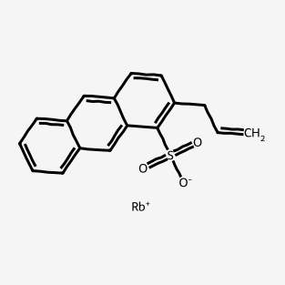 C=CCc1ccc2cc3ccccc3cc2c1S(=O)(=O)[O-].[Rb+]